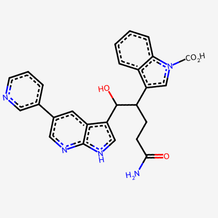 NC(=O)CCC(c1cn(C(=O)O)c2ccccc12)C(O)c1c[nH]c2ncc(-c3cccnc3)cc12